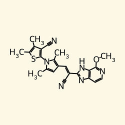 COc1nccc2nc(C(C#N)=Cc3cc(C)n(-c4sc(C)c(C)c4C#N)c3C)[nH]c12